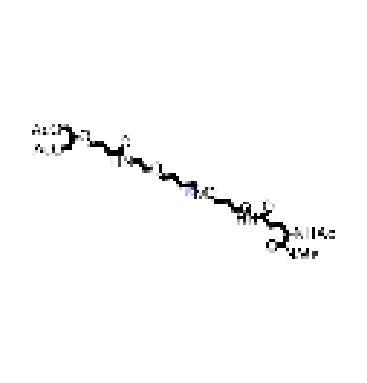 CNC(=O)[C@H](CCC(=O)NOCCCO/N=C/CCCOCCNC(=O)CCCOC(COC(C)=O)COC(C)=O)NC(C)=O